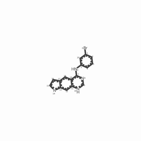 Brc1cccc(Nc2nc[nH]c3cc4nccc4cc23)c1